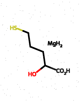 O=C(O)C(O)CCCS.[MgH2]